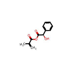 C=C(C)C(=O)OC(=O)[C@H](O)c1ccccc1